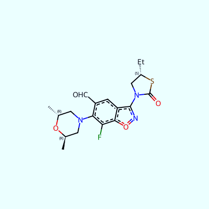 CC[C@H]1CN(c2noc3c(F)c(N4C[C@@H](C)O[C@H](C)C4)c(C=O)cc23)C(=O)S1